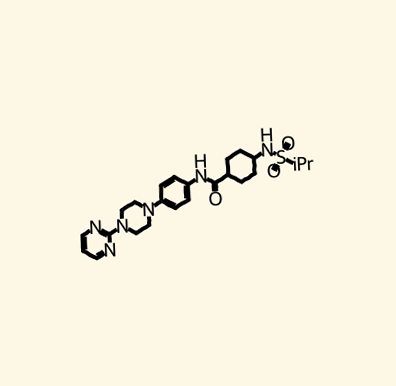 CC(C)S(=O)(=O)NC1CCC(C(=O)Nc2ccc(N3CCN(c4ncccn4)CC3)cc2)CC1